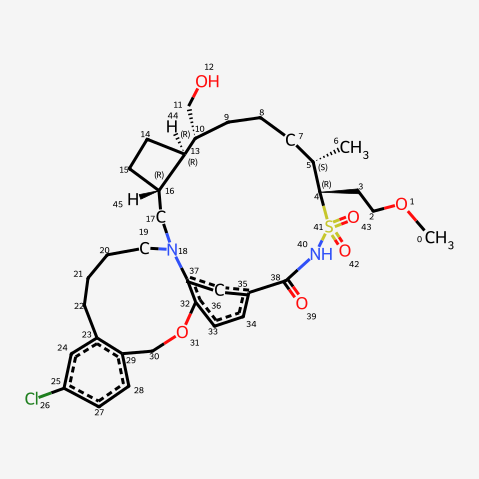 COCC[C@@H]1[C@@H](C)CCC[C@@H](CO)[C@@H]2CC[C@H]2CN2CCCCc3cc(Cl)ccc3COc3ccc(cc32)C(=O)NS1(=O)=O